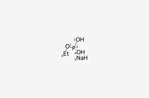 CCOP(O)O.[NaH]